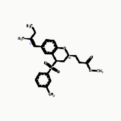 CC/C(C)=C\c1ccc2c(c1)C(S(=O)(=O)c1cccc(C)c1)C[C@H](CCC(=O)OC)O2